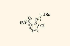 CC(C)(C)CCOc1c(Cl)cccc1C(=O)C(C)(C)C